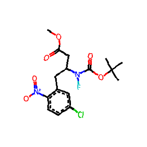 COC(=O)CC(Cc1cc(Cl)ccc1[N+](=O)[O-])N(F)C(=O)OC(C)(C)C